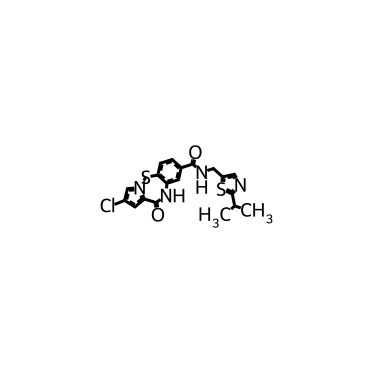 CC(C)c1ncc(CNC(=O)c2ccc3c(c2)NC(=O)c2cc(Cl)cn2S3)s1